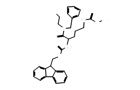 CC(C)(C)OC(=O)NCCCC(NC(=O)OCC1c2ccccc2-c2ccccc21)C(=O)N(CCO)Cc1ccccc1